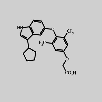 O=C(O)COc1cc(C(F)(F)F)c(Oc2ccc3[nH]cc(C4CCCC4)c3c2)c(C(F)(F)F)c1